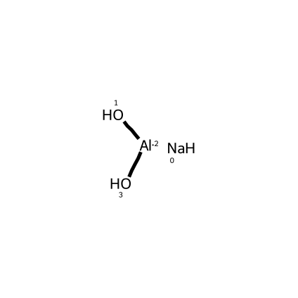 [NaH].[OH][Al][OH]